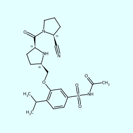 CC(=O)NS(=O)(=O)c1ccc(C(C)C)c(OC[C@H]2CC[C@@H](C(=O)N3CCC[C@H]3C#N)N2)c1